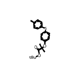 Cc1ccc(Sc2ccc(OC(C)(C)C(=O)OC(C)(C)C)cc2)cc1